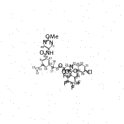 COc1ncc(NC(=O)c2cc(C3CC3)cc(C(C)(C)COC(=O)CN(Cc3ccc(Cl)cc3)S(=O)(=O)c3c(F)c(F)c(F)c(F)c3F)c2)cn1